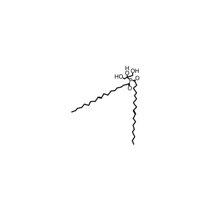 CCCCCCCCC=CCCCCCCCC(=O)P(C(=O)CCCCCCCC=CCCCCCCCC)C(O)(CO)CO